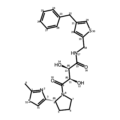 Cc1nc([C@H]2CCCN2C(=O)[C@H](O)[C@@H](O)C(=O)NCc2cc(Cc3ccccc3)cs2)cs1